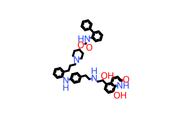 O=C(Nc1ccccc1-c1ccccc1)OC1CCN(CCCc2ccccc2Nc2ccc(CCNCC(O)c3ccc(O)c4[nH]c(=O)ccc34)cc2)CC1